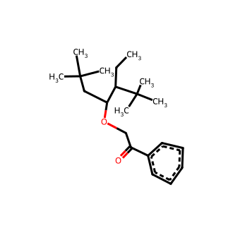 CCC(C(CC(C)(C)C)OCC(=O)c1ccccc1)C(C)(C)C